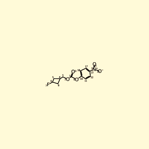 O=C(OCC1CC(F)C1)Oc1ccc([N+](=O)[O-])cc1